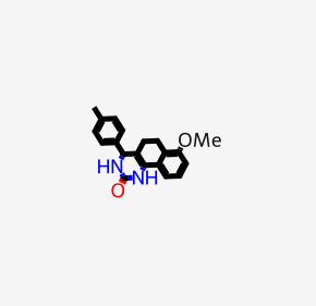 COc1cccc2c1CCC1=C2NC(=O)NC1c1ccc(C)cc1